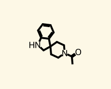 CC(=O)N1CCC2(CC1)CNc1ccccc12